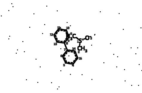 C[S+](C)[O-].c1ccc(-c2ccccc2)cc1